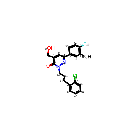 Cc1cc(-c2cc(CO)c(=O)n(CCCc3ccccc3Cl)n2)ccc1F